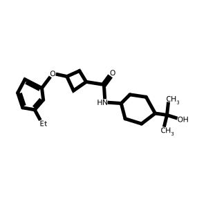 CCc1cccc(OC2CC(C(=O)NC3CCC(C(C)(C)O)CC3)C2)c1